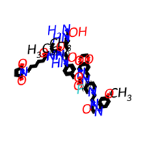 COc1ccc2ncc(=O)n(CCN3CC[C@@H](N(Cc4cc5c(cn4)OCCO5)C(=O)OCc4ccc(NC(=O)[C@H](CCCNC(N)O)NC(=O)[C@@H](NC(=O)CCCCCN5C(=O)C=CC5=O)C(C)C)cc4)[C@H](F)C3)c2c1